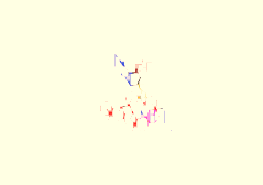 CC(=O)OCC(OC(Sc1cnc(C#N)c(Br)c1)[C@H](CN)OC(C)=O)[C@@H](C)OC(C)=O